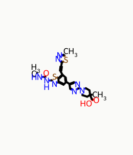 CCNC(=O)Nc1nc2cc(-c3cnc(N4CCC(C)(C(=O)O)CC4)nc3)cc(C#Cc3nnc(C)s3)c2s1